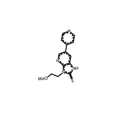 COCCn1c(=S)[nH]c2cc(-c3ccncc3)cnc21